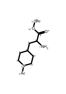 CC(=O)N1CCC(CC(N)C(=O)OC(C)(C)C)CC1